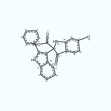 COC(=O)C1(c2c(-c3ccccc3)[nH]c3ccccc23)Nc2cc(Cl)ccc2C1=O